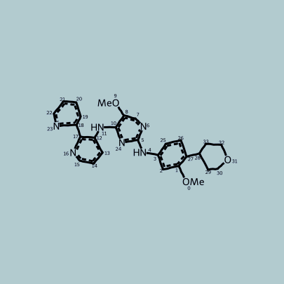 COc1cc(Nc2ncc(OC)c(Nc3cccnc3-c3ccccn3)n2)ccc1C1CCOCC1